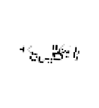 C[C@@H]1CCN(CCOc2ccc(C(C)(C)C)cc2)C1